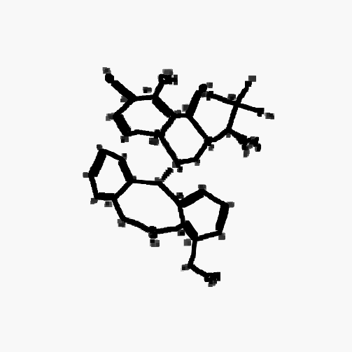 C[C@@H](N1CN([C@H]2c3ccccc3CSc3c(CO)cccc32)n2ccc(=O)c(O)c2C1=O)C(F)(F)F